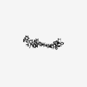 N=C(c1ccc(Oc2ccccc2F)cc1)c1c(N)ncnc1NC1CCN(C2CN(C3CN(c4ccc5c(c4)C(=O)N(C4CCC(=O)NC4=O)C5=O)C3)C2)CC1